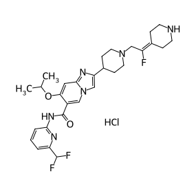 CC(C)Oc1cc2nc(C3CCN(CC(F)=C4CCNCC4)CC3)cn2cc1C(=O)Nc1cccc(C(F)F)n1.Cl